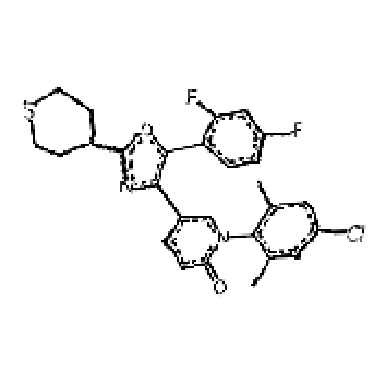 Cc1cc(Cl)cc(C)c1-n1cc(-c2nc(C3CCSCC3)oc2-c2ccc(F)cc2F)ccc1=O